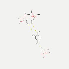 CCO[Si](CCCSSSSC(C)C1CCC(C(C)SCCC[Si](OCC)(OCC)OCC)CC1C(C)SSSSCCC[Si](OCC)(OCC)OCC)(OCC)OCC